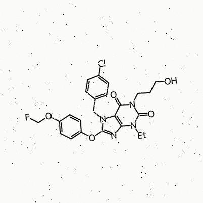 CCn1c(=O)n(CCCO)c(=O)c2c1nc(Oc1ccc(OCF)cc1)n2Cc1ccc(Cl)cc1